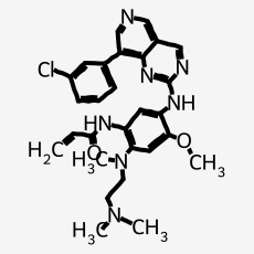 C=CC(=O)Nc1cc(Nc2ncc3cncc(-c4cccc(Cl)c4)c3n2)c(OC)cc1N(C)CCN(C)C